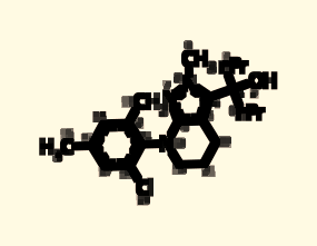 CCCC(O)(CCC)c1c2c(nn1C)N(c1c(C)cc(C)cc1Cl)CCC2